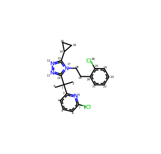 CC(C)(c1cccc(Cl)n1)c1nnc(C2CC2)n1CCc1ccccc1Cl